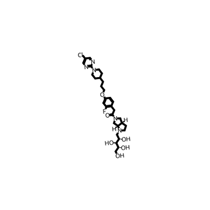 O=C(Cc1ccc(OCCCC2CCN(c3ncc(Cl)cn3)CC2)cc1F)N1C[C@@H]2CCN(C[C@H](O)[C@H](O)[C@H](O)CO)[C@@H]2C1